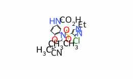 CCn1cc(S(=O)(=O)N2c3cc(NC(=O)O)ccc3O[C@@H](CC(C)(C)C#N)[C@H]2C)c(Cl)n1